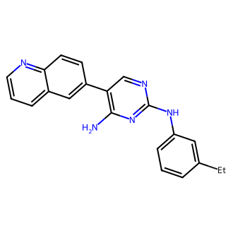 CCc1cccc(Nc2ncc(-c3ccc4ncccc4c3)c(N)n2)c1